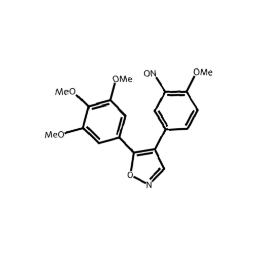 COc1ccc(-c2cnoc2-c2cc(OC)c(OC)c(OC)c2)cc1N=O